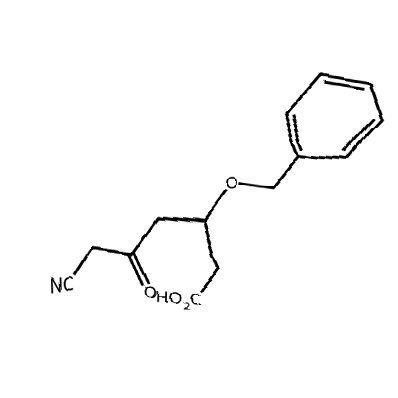 N#CCC(=O)CC(CC(=O)O)OCc1ccccc1